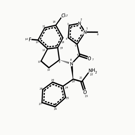 Cn1nccc1C(=O)N([C@@H]1CCc2c(F)cc(Cl)cc21)[C@@H](C(N)=O)c1ccccc1